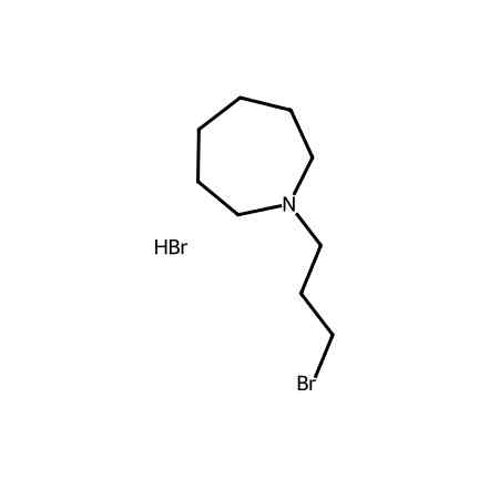 Br.BrCCCN1CCCCCC1